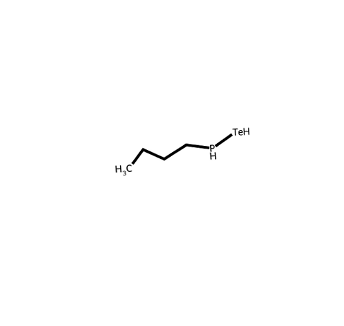 CCCCP[TeH]